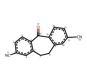 N#Cc1ccc2c(c1)CCc1cc(C#N)ccc1C2=O